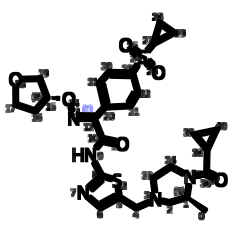 C[C@H]1CN(Cc2cnc(NC(=O)/C(=N/O[C@@H]3CCOC3)c3ccc(S(=O)(=O)C4CC4)cc3)s2)CCN1C(=O)C1CC1